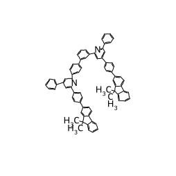 CC1(C)c2ccccc2-c2ccc(-c3ccc(-c4cc(-c5ccccc5)nc(-c5cccc(-c6ccc(-c7cc(-c8ccccc8)cc(-c8ccc(-c9ccc%10c(c9)C(C)(C)c9ccccc9-%10)cc8)n7)cc6)c5)c4)cc3)cc21